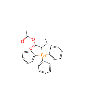 CCC(C(=O)OC(C)=O)[PH](c1ccccc1)(c1ccccc1)c1ccccc1